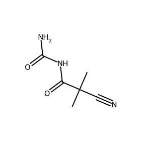 CC(C)(C#N)C(=O)NC(N)=O